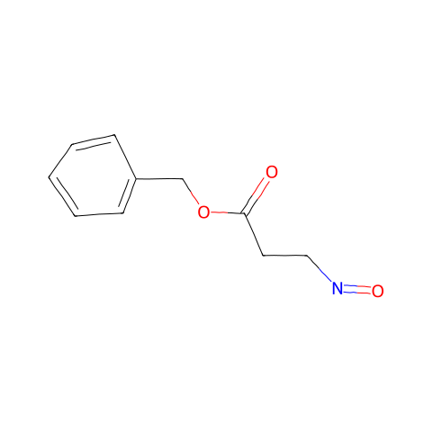 O=NCCC(=O)OCc1ccccc1